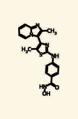 Cc1nc2ccccn2c1-c1nc(Nc2ccc(C(=O)NO)cc2)sc1C